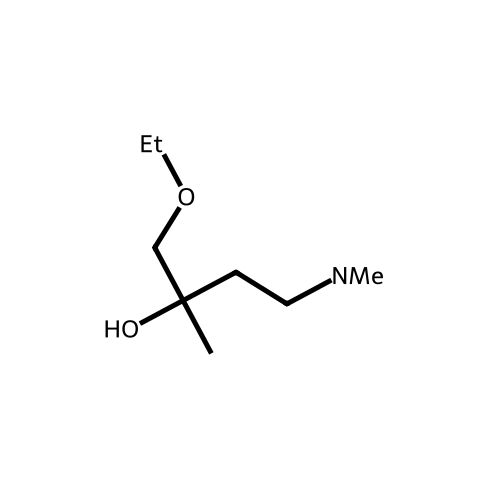 CCOCC(C)(O)CCNC